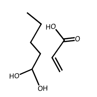 C=CC(=O)O.CCCCC(O)O